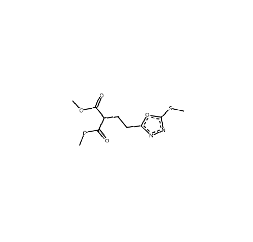 COC(=O)C(CCc1nnc(SC)o1)C(=O)OC